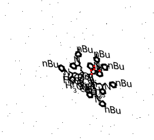 CCCCc1ccc(N=CC(CCC[Si]2(CCCC(C=Nc3ccc(CCCC)cc3)c3ccccc3)O[Si](C)(C)O[Si](C)(C)O[Si](C)(C)O[Si](CCCC(C=Nc3ccc(CCCC)cc3)c3ccccc3)(CCCC(C=Nc3ccc(CCCC)cc3)c3ccccc3)O[Si](CCCC(C=Nc3ccc(CCCC)cc3)c3ccccc3)(CCCC(C=Nc3ccc(CCCC)cc3)c3ccccc3)O2)c2ccccc2)cc1